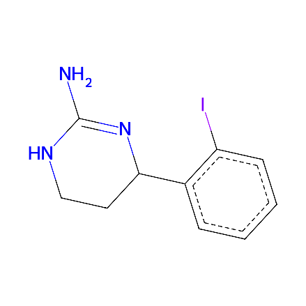 NC1=NC(c2ccccc2I)CCN1